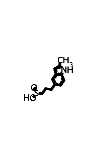 Cc1cc2cc(CCCS(=O)O)ccc2[nH]1